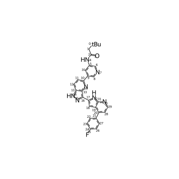 CC(C)(C)CC(=O)Nc1cncc(-c2ccc3[nH]nc(-c4cc5c(-c6ccc(F)cc6)ccnc5[nH]4)c3n2)c1